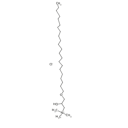 CCCCCCCCCCCCCCCCCCCCCCOCC(O)C[N+](C)(C)C.[Cl-]